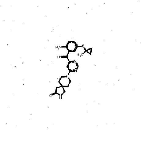 CC1(Oc2ccc(N)c(C(=N)c3cc(N4CCC5(CC4)CNC(=O)C5)ncn3)c2)CC1